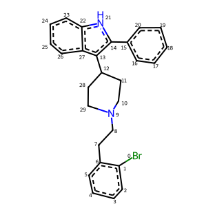 Brc1ccccc1CCN1CCC(c2c(-c3ccccc3)[nH]c3ccccc23)CC1